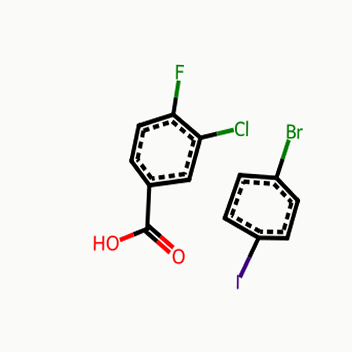 Brc1ccc(I)cc1.O=C(O)c1ccc(F)c(Cl)c1